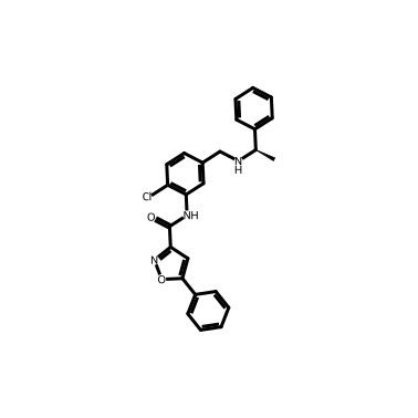 C[C@@H](NCc1ccc(Cl)c(NC(=O)c2cc(-c3ccccc3)on2)c1)c1ccccc1